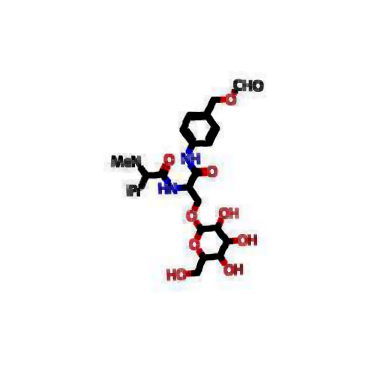 CNC(C(=O)NC(COC1OC(CO)C(O)C(O)C1O)C(=O)Nc1ccc(COC=O)cc1)C(C)C